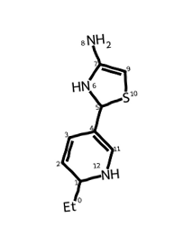 CCC1C=CC(C2NC(N)=CS2)=CN1